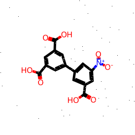 O=C(O)c1cc(C(=O)O)cc(-c2cc(C(=O)O)cc([N+](=O)[O-])c2)c1